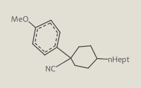 CCCCCCCC1CCC(C#N)(c2ccc(OC)cc2)CC1